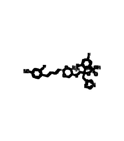 C[C@@H](S[C@H]1CO[C@H](/C=C/C=C/c2ccc(C#N)cc2F)OC1)[C@@](Cn1cncn1)(OP(=O)(O)O)c1ccc(F)cc1F